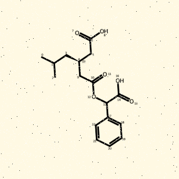 CC(C)C[C@@H](CC(=O)O)CC(=O)OC(C(=O)O)c1ccccc1